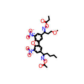 CCCC/C(=N\OC(C)=O)c1cc([N+](=O)[O-])c2oc3c([N+](=O)[O-])cc(/C(CCOC)=N/OC(=O)CC)cc3c2c1